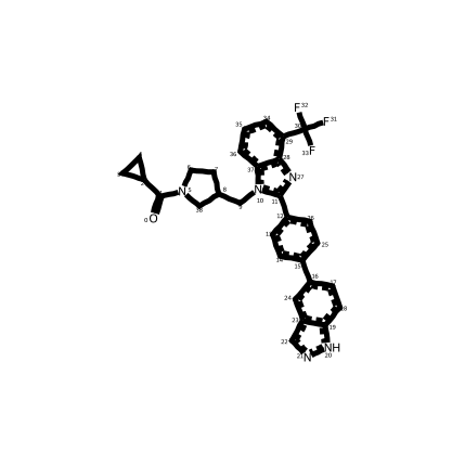 O=C(C1CC1)N1CCC(Cn2c(-c3ccc(-c4ccc5[nH]ncc5c4)cc3)nc3c(C(F)(F)F)cccc32)C1